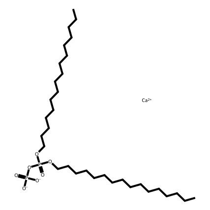 CCCCCCCCCCCCCCCCOP(=O)(OCCCCCCCCCCCCCCCC)OP(=O)([O-])[O-].[Ca+2]